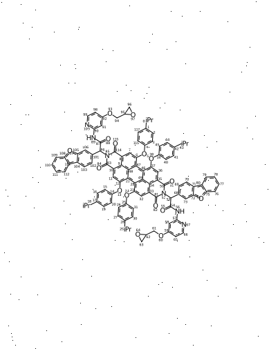 CC(C)c1ccc(Oc2cc3c4c(cc(Oc5ccc(C(C)C)cc5)c5c6c(Oc7ccc(C(C)C)cc7)cc7c8c(cc(Oc9ccc(C(C)C)cc9)c(c2c45)c86)C(=O)N(C(C(=O)Nc2cc(OCC4CO4)ccn2)c2ccc4c(c2)oc2ccccc24)C7=O)C(=O)N(C(C(=O)Nc2cc(OCC4CO4)ccn2)c2ccc4c(c2)oc2ccccc24)C3=O)cc1